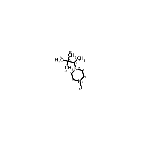 CC(N1CCN(I)CC1)C(C)(C)C